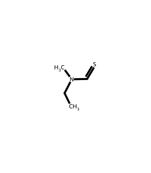 CCN(C)C=S